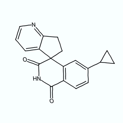 O=C1NC(=O)C2(CCc3ncccc32)c2cc(C3CC3)ccc21